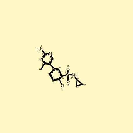 Cc1nc(N)ncc1-c1ccc(Cl)c(S(=O)(=O)NC2CC2)c1